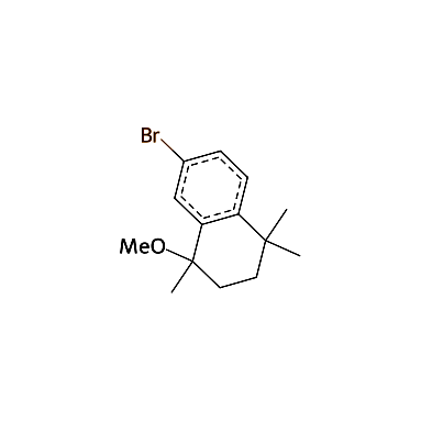 COC1(C)CCC(C)(C)c2ccc(Br)cc21